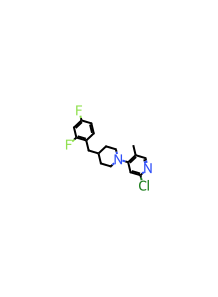 Cc1cnc(Cl)cc1N1CCC(Cc2ccc(F)cc2F)CC1